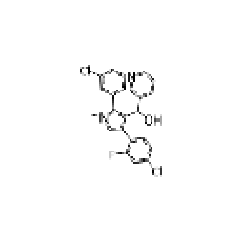 Cn1cc(-c2ccc(Cl)cc2F)c(C(O)c2cccnc2)c1-c1cccc(Cl)c1